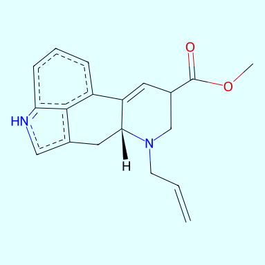 C=CCN1CC(C(=O)OC)C=C2c3cccc4[nH]cc(c34)C[C@H]21